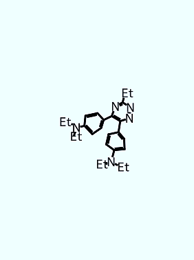 CCc1nnc(-c2ccc(N(CC)CC)cc2)c(-c2ccc(N(CC)CC)cc2)n1